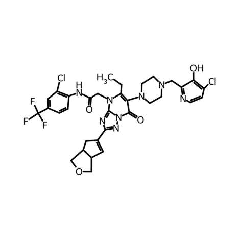 CCc1c(N2CCN(Cc3nccc(Cl)c3O)CC2)c(=O)n2nc(C3=CC4COCC4C3)nc2n1CC(=O)Nc1ccc(C(F)(F)F)cc1Cl